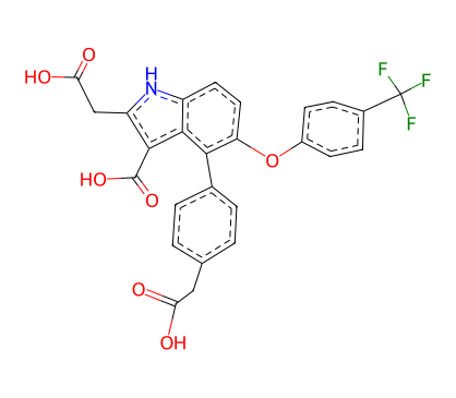 O=C(O)Cc1ccc(-c2c(Oc3ccc(C(F)(F)F)cc3)ccc3[nH]c(CC(=O)O)c(C(=O)O)c23)cc1